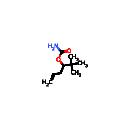 C=CCC(OC(N)=O)C(C)(C)C